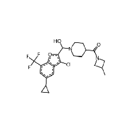 CC1CN(C(=O)C2CCN(C(O)c3oc4c(C(F)(F)F)cc(C5CC5)cc4c3Cl)CC2)C1